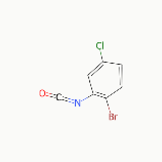 O=C=Nc1cc(Cl)ccc1Br